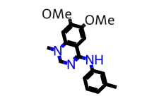 COc1cc2c(cc1OC)N(C)CN=C2Nc1cccc(C)c1